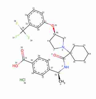 C[C@H](NC(=O)C1(N2CC[C@@H](Oc3cccc(C(F)(F)F)c3)C2)CCCCC1)c1ccc(C(=O)O)cc1.Cl